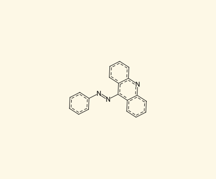 c1ccc(N=Nc2c3ccccc3nc3ccccc23)cc1